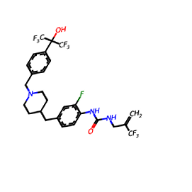 C=C(CNC(=O)Nc1ccc(CC2CCN(Cc3ccc(C(O)(C(F)(F)F)C(F)(F)F)cc3)CC2)cc1F)C(F)(F)F